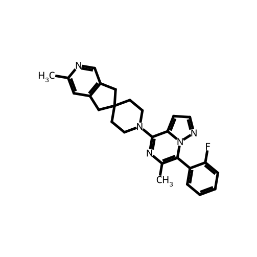 Cc1cc2c(cn1)CC1(CCN(c3nc(C)c(-c4ccccc4F)n4nccc34)CC1)C2